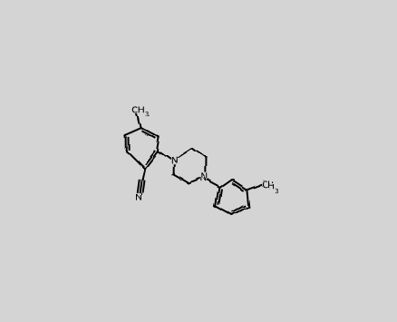 Cc1cccc(N2CCN(c3cc(C)ccc3C#N)CC2)c1